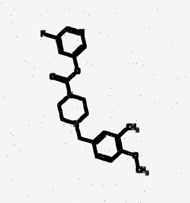 COc1ccc(CN2CCN(C(=O)Oc3cncc(F)c3)CC2)cc1C